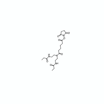 CCC(=O)NCCN(CCNC(=O)CC)C(=O)CCCCC(=O)ON1C(=O)CCC1=O